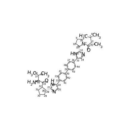 CC(C)[C@H](C)C(=O)N1CCC[C@H]1c1ncc(-c2ccc(-c3ccc(-c4cnc([C@@H]5CCCC5C(=O)[C@@H](N)C(C)C)[nH]4)cc3)cc2)[nH]1